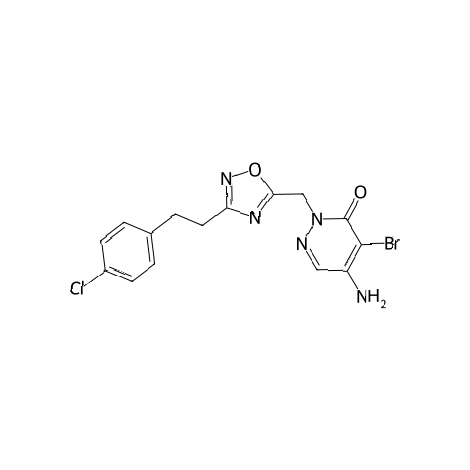 Nc1cnn(Cc2nc(CCc3ccc(Cl)cc3)no2)c(=O)c1Br